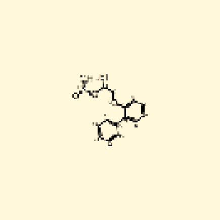 CCC(COc1ccccc1-c1ccccc1)OS(=O)O